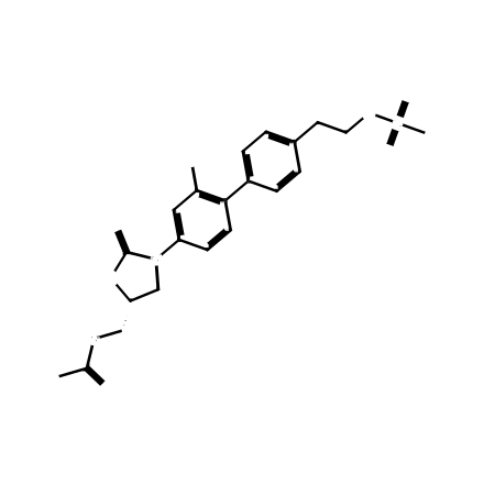 CC(=O)NC[C@H]1CN(c2ccc(-c3ccc(CCOS(C)(=O)=O)cc3)c(F)c2)C(=O)O1